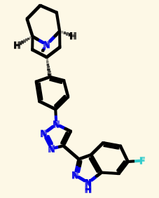 CN1[C@@H]2CCC[C@H]1C[C@H](c1ccc(-n3cc(-c4n[nH]c5cc(F)ccc45)nn3)cc1)C2